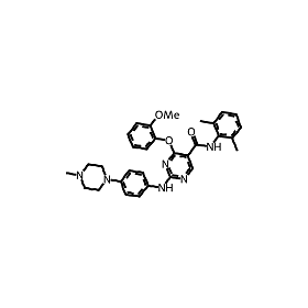 COc1ccccc1Oc1nc(Nc2ccc(N3CCN(C)CC3)cc2)ncc1C(=O)Nc1c(C)cccc1C